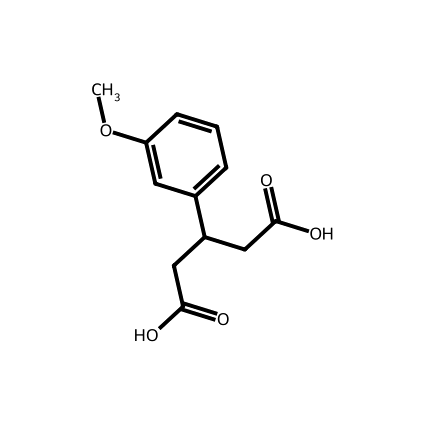 COc1cccc(C(CC(=O)O)CC(=O)O)c1